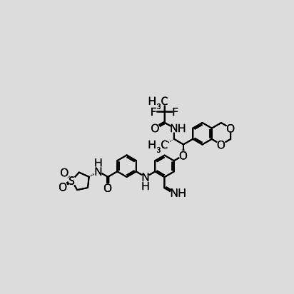 C[C@H](NC(=O)C(C)(F)F)[C@H](Oc1ccc(Nc2cccc(C(=O)N[C@@H]3CCS(=O)(=O)C3)c2)c(C=N)c1)c1ccc2c(c1)OCOC2